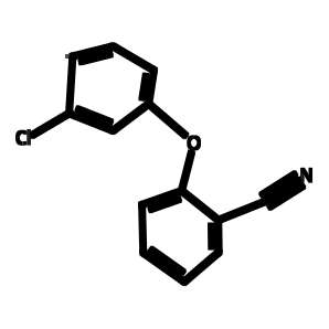 N#Cc1ccccc1Oc1cc[c]c(Cl)c1